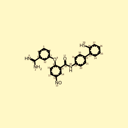 N=C(N)c1cccc(Oc2ccc(N=O)cc2C(=O)Nc2ccc(-c3ccccc3S)cc2)c1